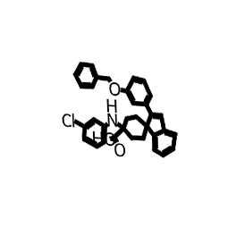 O=C(O)C1(Nc2cccc(Cl)c2)CCC2(CC1)C(c1cccc(OCc3ccccc3)c1)=Cc1ccccc12